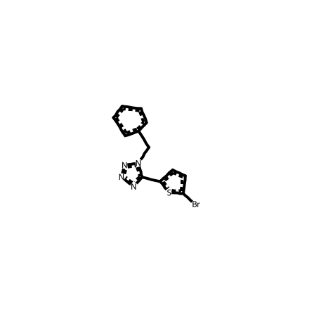 Brc1ccc(-c2nnnn2Cc2ccccc2)s1